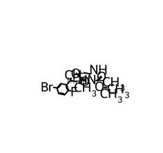 CC([C@@H](C)c1cc(Br)ccc1F)S(=O)(=O)CC(=N)NC(=O)OC(C)(C)C